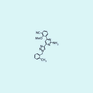 COc1c(C#N)cccc1-c1cc(-c2cn(Cc3ccccc3C)nn2)nc(N)n1